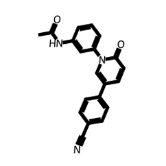 CC(=O)Nc1cccc(-n2cc(-c3ccc(C#N)cc3)ccc2=O)c1